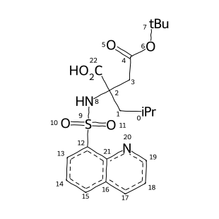 CC(C)CC(CC(=O)OC(C)(C)C)(NS(=O)(=O)c1cccc2cccnc12)C(=O)O